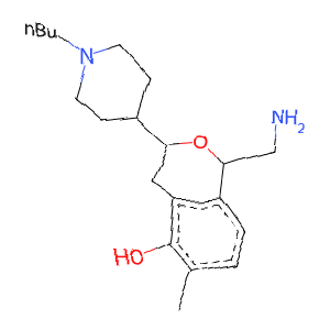 CCCCN1CCC(C2Cc3c(ccc(C)c3O)C(CN)O2)CC1